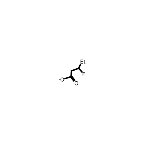 CCC(F)CC([O])=O